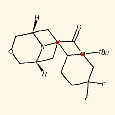 CC(C)(C)OC(=O)N1C[C@H]2COC[C@@H](C1)N2CC1CCC(F)(F)CC1